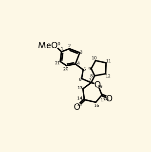 COc1ccc(CCC2(C3CCCC3)CC(=O)CC(=O)O2)cc1